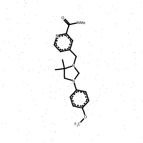 CNC(=O)c1cc(CN2CN(c3ccc(OC(F)(F)F)cc3)CC2(C)C)ccn1